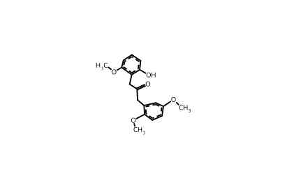 COc1ccc(OC)c(CC(=O)Cc2c(O)cccc2OC)c1